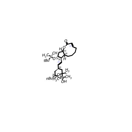 CCCC[C@H](C)C[C@@H](/C=C/[C@@H]1[C@H]2CCCC/C=C/C(=O)O[C@H]2C[C@H]1O[Si](C)(C)C(C)(C)C)CC(C)(C)[Si](C)(C)O